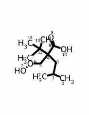 CC(C)CC(COO)(C(=O)O)C(C)(C)C